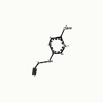 C#CCNc1ccc(OC)nc1